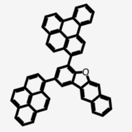 c1ccc2cc3c(cc2c1)oc1c(-c2ccc4c5ccccc5c5cccc6ccc2c4c65)cc(-c2ccc4ccc5cccc6ccc2c4c56)cc13